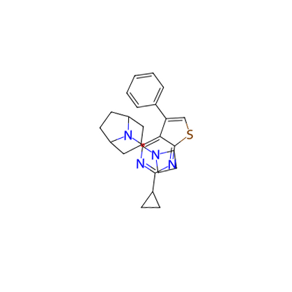 c1ccc(-c2csc3nc(C4CC4)nc(N4C5CCC4CC(N4CCC4)C5)c23)cc1